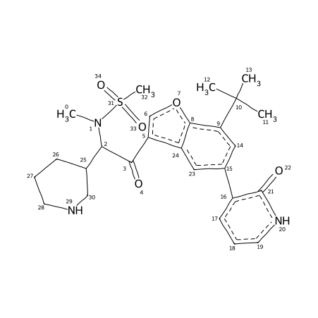 CN(C(C(=O)c1coc2c(C(C)(C)C)cc(-c3ccc[nH]c3=O)cc12)C1CCCNC1)S(C)(=O)=O